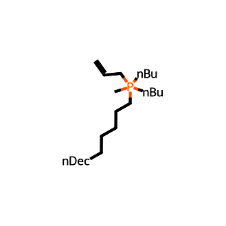 C=CCP(C)(CCCC)(CCCC)CCCCCCCCCCCCCCC